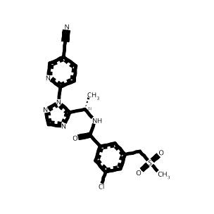 C[C@H](NC(=O)c1cc(Cl)cc(CS(C)(=O)=O)c1)c1ncnn1-c1ccc(C#N)cn1